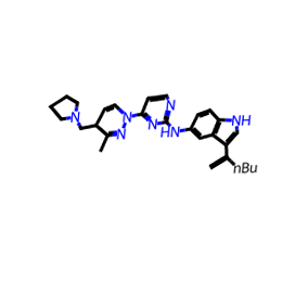 C=C(CCCC)c1c[nH]c2ccc(Nc3nccc(N4C=CC(CN5CCCC5)C(C)=N4)n3)cc12